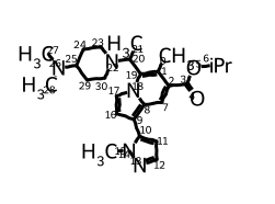 Cc1c(C(=O)OC(C)C)cc2c(-c3ccnn3C)ccn2c1C(C)N1CCC(N(C)C)CC1